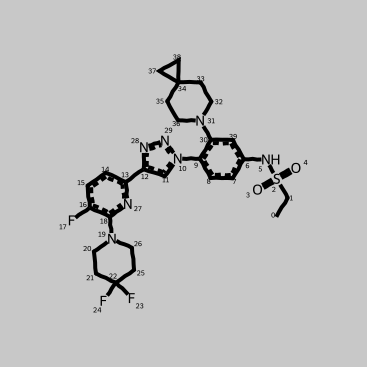 CCS(=O)(=O)Nc1ccc(-n2cc(-c3ccc(F)c(N4CCC(F)(F)CC4)n3)nn2)c(N2CCC3(CC2)CC3)c1